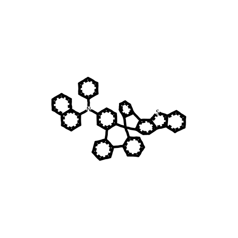 c1ccc(N(c2ccc3c(c2)-c2ccccc2-c2ccccc2C32c3ccccc3-c3c2ccc2c3sc3ccccc32)c2cccc3ccccc23)cc1